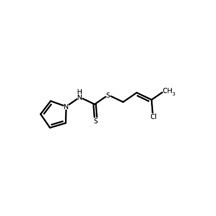 CC(Cl)=CCSC(=S)Nn1cccc1